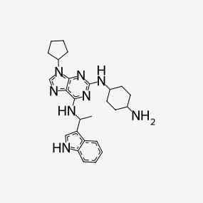 CC(Nc1nc(NC2CCC(N)CC2)nc2c1ncn2C1CCCC1)c1c[nH]c2ccccc12